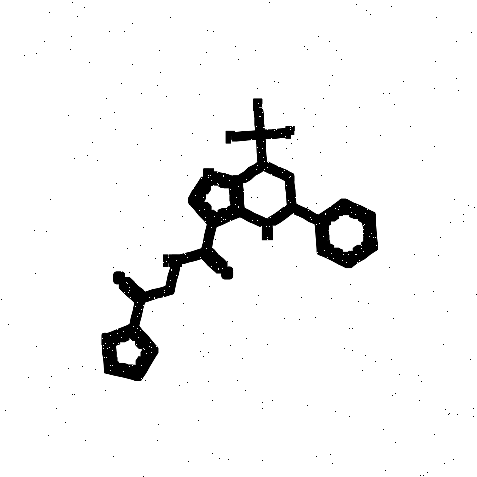 O=C(CNC(=O)c1cnn2c1NC(c1ccccc1)CC2C(F)(F)F)c1cccs1